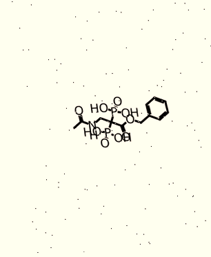 CC(=O)NCC(C(=O)OCc1ccccc1)(P(=O)(O)O)P(=O)(O)O